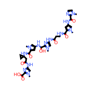 Cn1cc(NC(=O)c2nccn2C)cc1C(=O)NCCC(=O)Nc1cn(C)c(C(O)Nc2cc(C(=O)NC3(CC(=O)Nc4cn(C)c(C(=O)O)n4)CC3)n(C)c2)n1